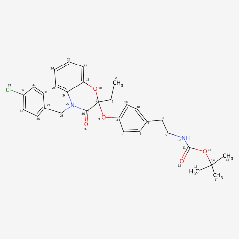 CCC1(Oc2ccc(CCNC(=O)OC(C)(C)C)cc2)Oc2ccccc2N(Cc2ccc(Cl)cc2)C1=O